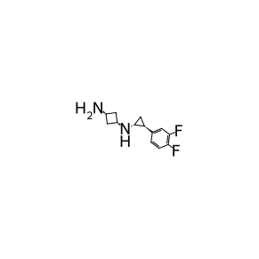 N[C@H]1C[C@@H](N[C@@H]2C[C@H]2c2ccc(F)c(F)c2)C1